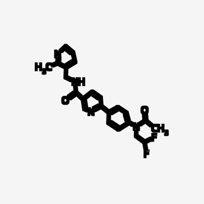 CC(=O)N(CC(F)F)c1ccc(-c2ccc(C(=O)NCc3cccnc3C)cn2)cc1